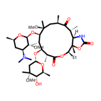 CC[C@H]1OC(=O)[C@H](C)[C@@H](O[C@H]2C[C@@](C)(OC)[C@@H](O)[C@H](C)O2)[C@H](C)[C@@H](O[C@@H]2O[C@H](C)C[C@H](N(C)C)[C@H]2OC)[C@@](C)(OC)C[C@@H](C)C(=O)[C@H](C)[C@H]2NC(=O)O[C@@]21C